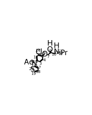 CC(=O)N(c1ccc(OCC(O)CNC(C)C)c(Cl)c1)c1cccs1